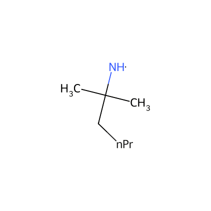 CCCCC(C)(C)[NH]